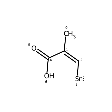 CC(=[CH][Sn])C(=O)O